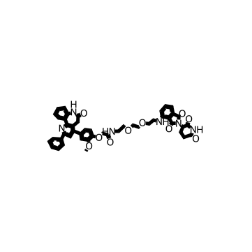 COc1cc(-c2cc(-c3ccccc3)nc3c2CC(=O)Nc2ccccc2-3)ccc1OCC(=O)NCCOCCOCCNc1cccc2c1C(=O)N(C1CCC(=O)NC1=O)C2=O